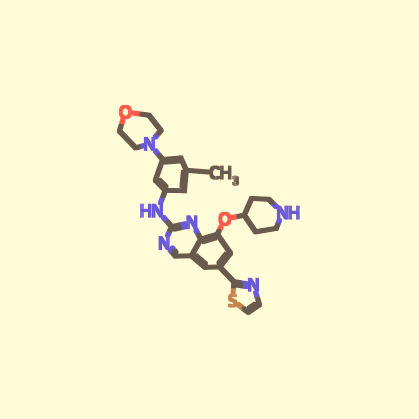 Cc1cc(Nc2ncc3cc(-c4nccs4)cc(OC4CCNCC4)c3n2)cc(N2CCOCC2)c1